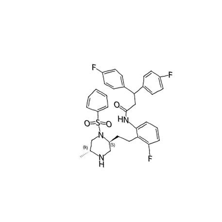 C[C@@H]1CN(S(=O)(=O)c2ccccc2)[C@@H](CCc2c(F)cccc2NC(=O)CC(c2ccc(F)cc2)c2ccc(F)cc2)CN1